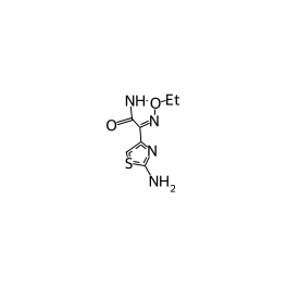 CCO/N=C(\C([NH])=O)c1csc(N)n1